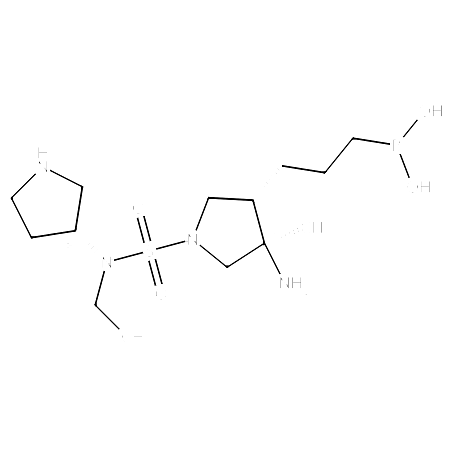 CCN([C@@H]1CCNC1)S(=O)(=O)N1C[C@H](CCCB(O)O)[C@@](C)(N)C1